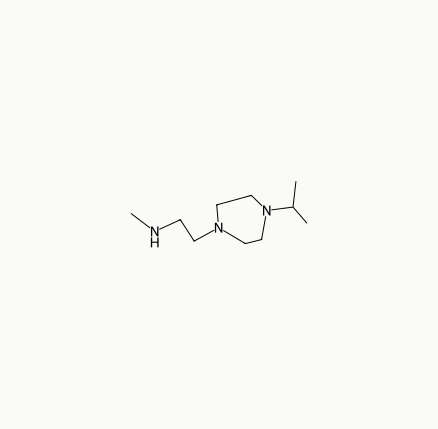 CNCCN1CCN(C(C)C)CC1